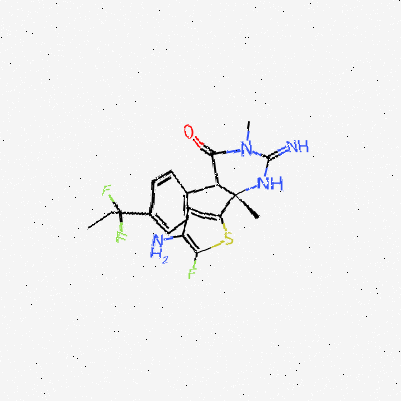 CN1C(=N)N[C@](C)(c2cc(N)c(F)s2)C(c2ccc(C(C)(F)F)cc2)C1=O